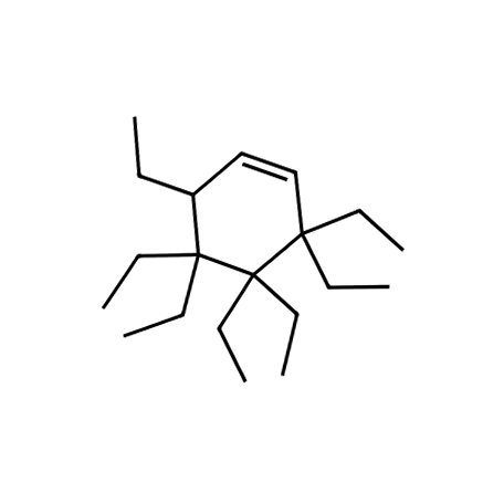 CCC1C=CC(CC)(CC)C(CC)(CC)C1(CC)CC